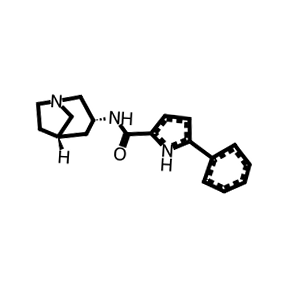 O=C(N[C@@H]1C[C@@H]2CCN(C2)C1)c1ccc(-c2ccccc2)[nH]1